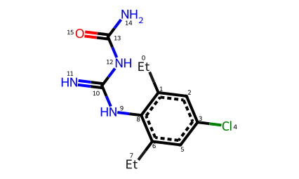 CCc1cc(Cl)cc(CC)c1NC(=N)NC(N)=O